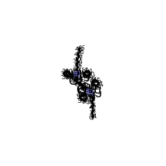 CCCCCCCCCC/[C]([Hg][c]1ccccc1)=[C](/OC(=O)CCC(=O)O/[C]([Hg][c]1ccccc1)=[C](/CCCCCCCCCC)[Hg][c]1ccccc1)[Hg][c]1ccccc1